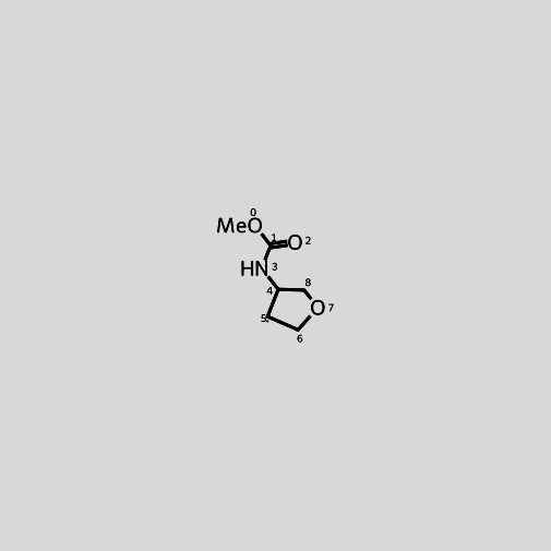 COC(=O)NC1[CH]COC1